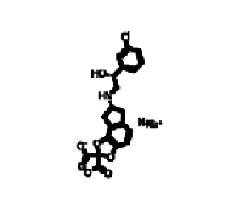 O=C([O-])C1(C(=O)[O-])Oc2ccc3c(c2O1)C[C@H](NC[C@H](O)c1cccc(Cl)c1)C3.[Na+].[Na+]